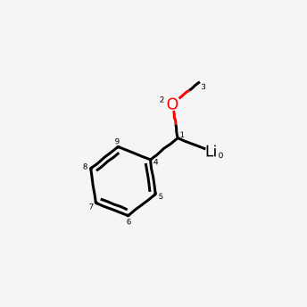 [Li][CH](OC)c1ccccc1